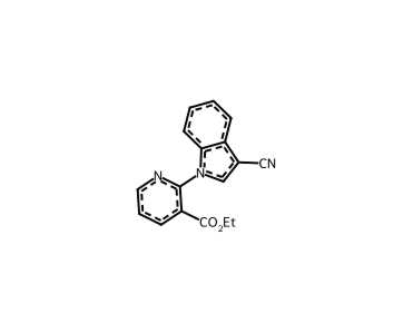 CCOC(=O)c1cccnc1-n1cc(C#N)c2ccccc21